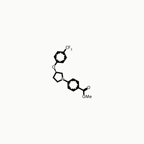 COC(=O)c1ccc(N2CC[C@@H](Oc3ccc(C(F)(F)F)cc3)C2)cc1